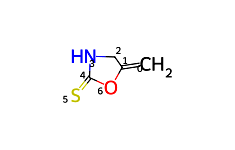 C=C1CNC(=S)O1